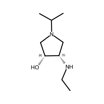 CCN[C@H]1CN(C(C)C)C[C@H]1O